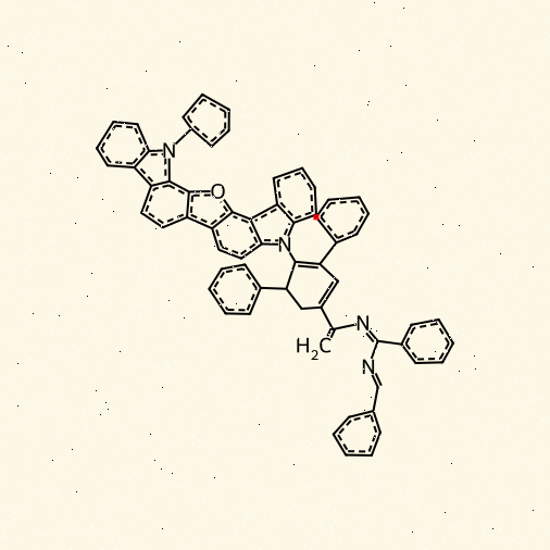 C=C(/N=C(\N=C\c1ccccc1)c1ccccc1)C1=CC(c2ccccc2)=C(n2c3ccccc3c3c4oc5c(ccc6c7ccccc7n(-c7ccccc7)c65)c4ccc32)C(c2ccccc2)C1